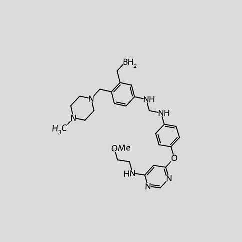 BCc1cc(NCNc2ccc(Oc3cc(NCCOC)ncn3)cc2)ccc1CN1CCN(C)CC1